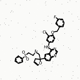 CN(CCS(=O)(=O)c1ccccc1)CC1(c2ccc3ncnc(Nc4ccc(OCc5cccc(F)c5)c(Cl)c4)c3c2)CC=CO1